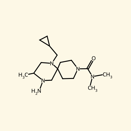 CC1CN(CC2CC2)C2(CCN(C(=O)N(C)C)CC2)CN1N